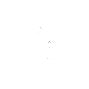 O=[N+]([O-])c1ccc(C=Nc2nnc(-c3ccc(O)c(O)c3)s2)cc1